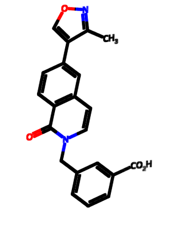 Cc1nocc1-c1ccc2c(=O)n(Cc3cccc(C(=O)O)c3)ccc2c1